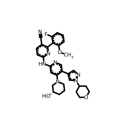 COc1cccc(F)c1-c1nc(Nc2cc(N3CCC[C@H](O)C3)c(-c3cnn(C4CCOCC4)c3)cn2)ccc1C#N